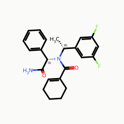 C[C@H](c1cc(F)cc(F)c1)N(C(=O)C1=CCCCC1)[C@H](C(N)=O)c1ccccc1